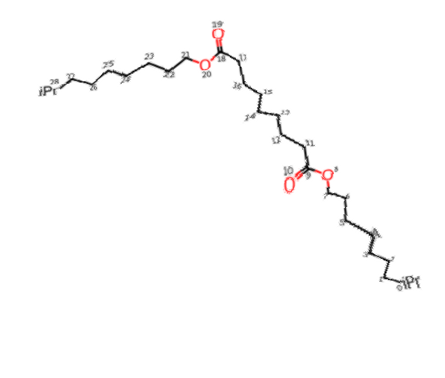 CC(C)CCCCCCCOC(=O)CCCCCCCC(=O)OCCCCCCCC(C)C